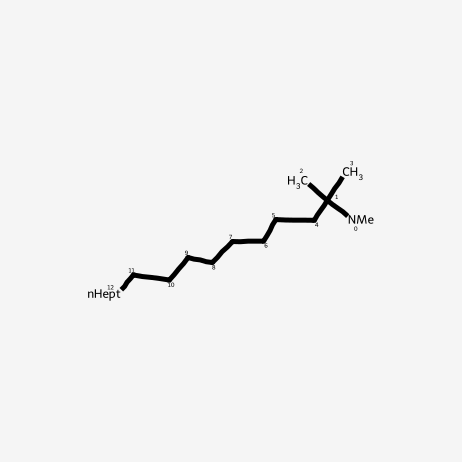 [CH2]NC(C)(C)CCCCCCCCCCCCCCC